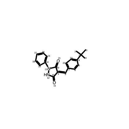 CC(C)(C)c1ccc(C=C2C(=O)NN(c3ccccc3)C2=O)cc1